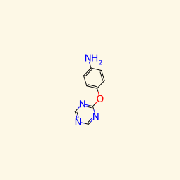 Nc1ccc(Oc2ncncn2)cc1